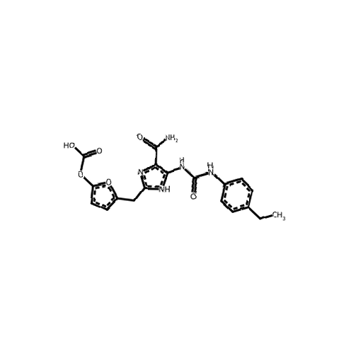 CCc1ccc(NC(=O)Nc2[nH]c(Cc3ccc(OC(=O)O)o3)nc2C(N)=O)cc1